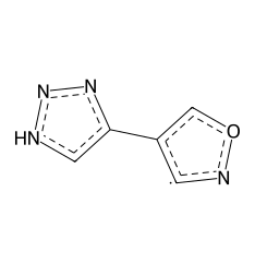 [c]1nocc1-c1c[nH]nn1